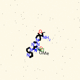 COC(=O)n1nc(N2CCCc3ncccc32)c2ncc(N3CCC4(CC3)CO[C@@H](C)[C@H]4N)nc21.Cl